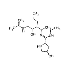 C=CC[C@H](C(O)CNC(=C)C)C(C)/N=C(\NCC)C1C[C@@H](O)CN1